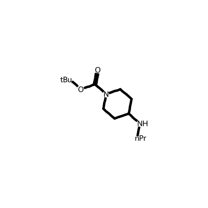 CCCNC1CCN(C(=O)OC(C)(C)C)CC1